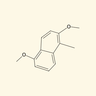 COc1ccc2c(OC)cccc2c1C